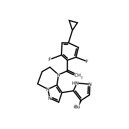 C=C(c1c(F)cc(C2CC2)cc1F)N1CCCn2ncc(-c3[nH]ncc3[C@H](C)CC)c21